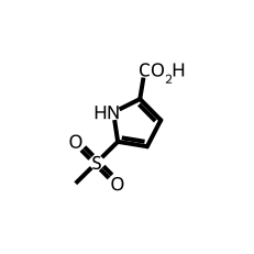 CS(=O)(=O)c1ccc(C(=O)O)[nH]1